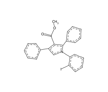 COC(=O)c1c(-c2ccccc2)cn(-c2ccccc2I)c1-c1ccccc1